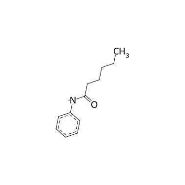 CCCCCC(=O)[N]c1ccccc1